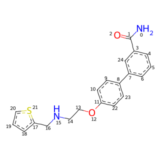 NC(=O)c1cccc(-c2ccc(OCCNCc3cccs3)cc2)c1